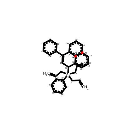 C=CC[As](CC=C)(CC=C)(c1ccccc1)C(C=C(c1ccccc1)c1ccccc1)c1ccccc1